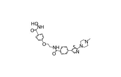 CN1CCN(c2ncc(-c3ccc(C(=O)NCCOc4ccc(C(=O)NO)cc4)cc3)s2)CC1